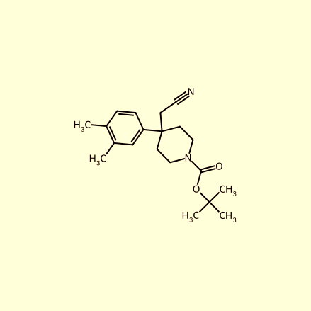 Cc1ccc(C2(CC#N)CCN(C(=O)OC(C)(C)C)CC2)cc1C